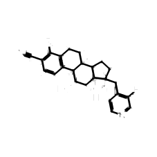 C[C@H]1C[C@@]2(C)C(CC[C@@]2(O)Cc2ccncc2F)C2CCc3c(ccc(C#N)c3F)C21